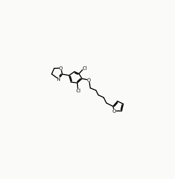 Clc1cc(C2=NCCO2)cc(Cl)c1OCCCCCc1ccco1